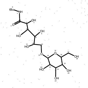 CC(C)(C)NC(=O)C(O)C(O)C(O)C(O)COC1OC(CO)C(O)C(O)C1O